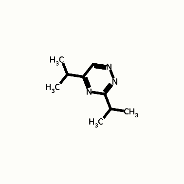 CC(C)c1cnnc(C(C)C)n1